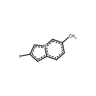 Cc1ccc2cc(I)cn2c1